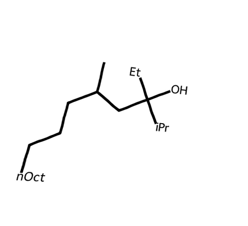 CCCCCCCCCCCC(C)CC(O)(CC)C(C)C